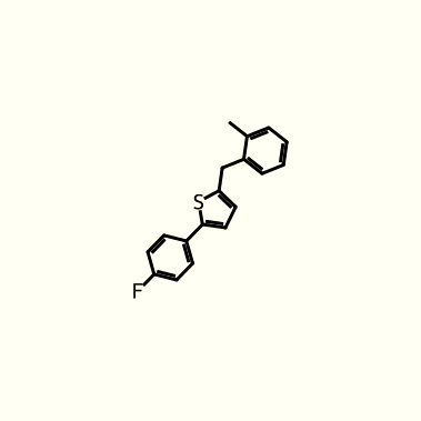 Cc1ccccc1Cc1ccc(-c2ccc(F)cc2)s1